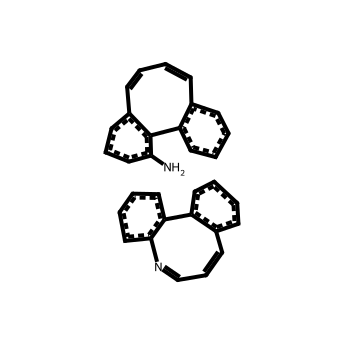 C1=Cc2ccccc2-c2ccccc2N=C1.Nc1cccc2c1-c1ccccc1C=CC=C2